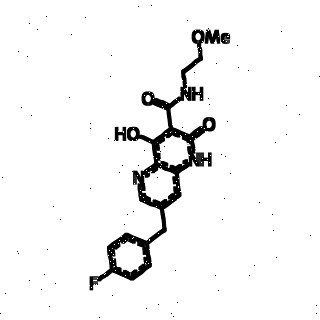 COCCNC(=O)c1c(O)c2ncc(Cc3ccc(F)cc3)cc2[nH]c1=O